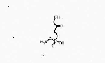 NOP(=O)(O)CCC(=O)CO